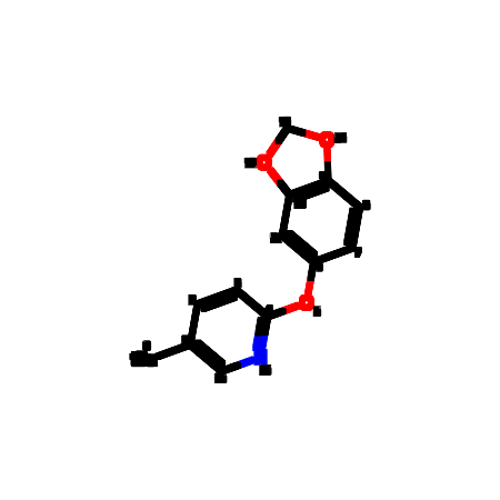 CC(C)(C)c1ccc(Oc2ccc3c(c2)OCO3)nc1